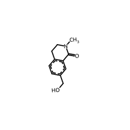 CN1CCc2ccc(CO)cc2C1=O